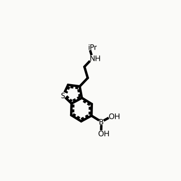 CC(C)NCCc1csc2ccc(B(O)O)cc12